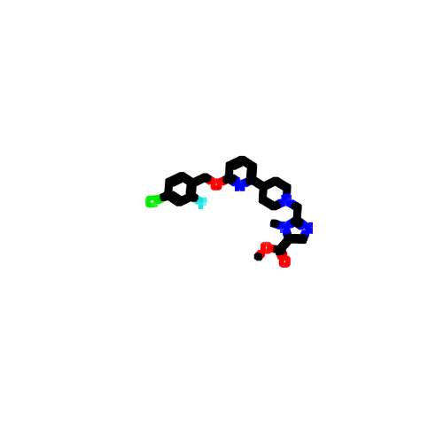 COC(=O)c1cnc(CN2CCC(c3cccc(OCc4ccc(Cl)cc4F)n3)CC2)n1C